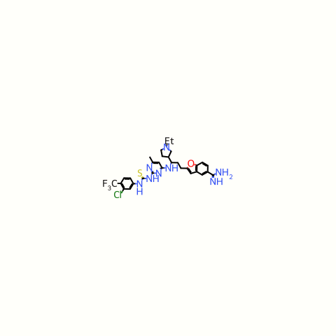 CCN1CCC(C(CCc2cc3cc(C(=N)N)ccc3o2)Nc2cc(C)nc(NC(=S)Nc3ccc(C(F)(F)F)c(Cl)c3)n2)C1